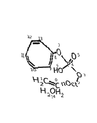 C=C.CCCCCCCCOP(=O)(O)Oc1ccccc1.O